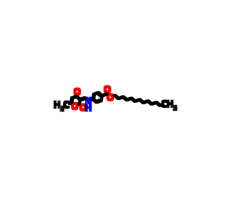 CCCCCCCCCCCCCOC(=O)c1ccc(NC=C2C(=O)C=C(C)OC2=O)cc1